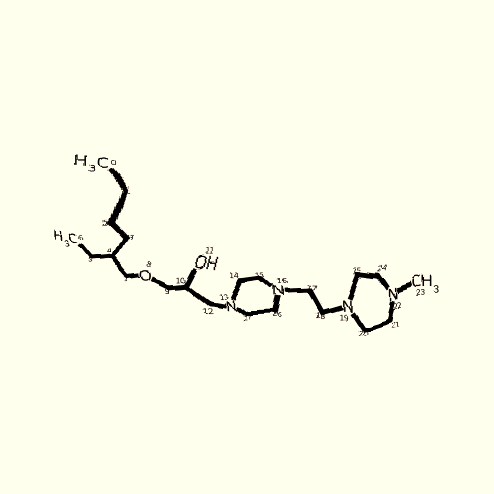 CCCCC(CC)COCC(O)CN1CCN(CCN2CCN(C)CC2)CC1